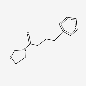 O=C(CCCc1ccccc1)N1CCSC1